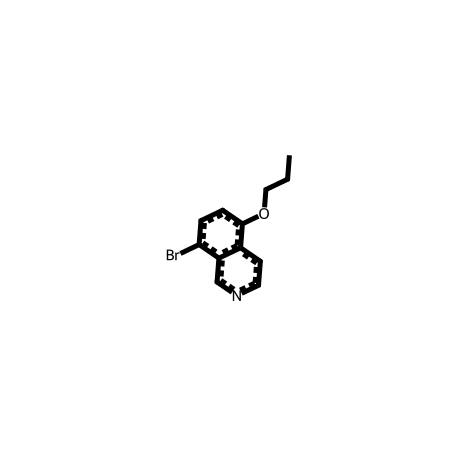 CCCOc1ccc(Br)c2cnccc12